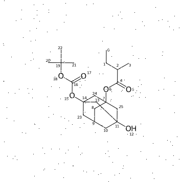 CCC(C)C(=O)OC12CC3CC(O)(CC(OC(=O)OC(C)(C)C)(C3)C1)C2